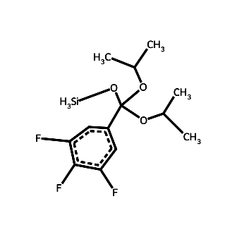 CC(C)OC(O[SiH3])(OC(C)C)c1cc(F)c(F)c(F)c1